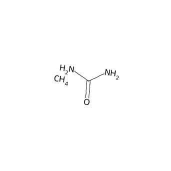 C.NC(N)=O